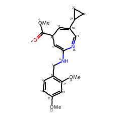 COC(=O)C1C=C(NCc2ccc(OC)cc2OC)N=CC(C2CC2)=C1